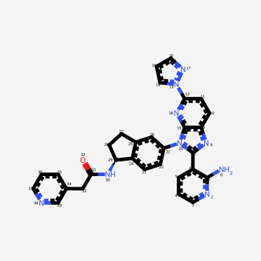 Nc1ncccc1-c1nc2ccc(-n3cccn3)nc2n1-c1ccc2c(c1)CC[C@@H]2NC(=O)Cc1cccnc1